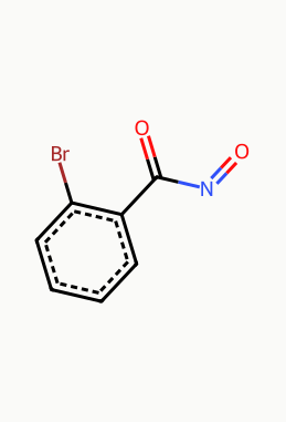 O=NC(=O)c1ccccc1Br